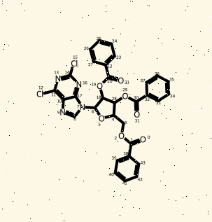 O=C(OCC1OC(n2cnc3c(Cl)nc(Cl)nc32)C(OC(=O)c2ccccc2)C1OC(=O)c1ccccc1)c1ccccc1